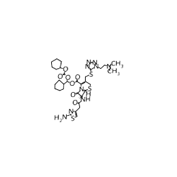 CN(C)CCn1nnnc1SCC1=C(C(=O)OC(OC(=O)OC2CCCCC2)C2CCCCC2)N2C(=O)[C@@H](NC(=O)Cc3csc(N)n3)[C@@H]2SC1